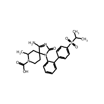 CC1CC2(CCN1C(=O)O)C(N)=NC(=O)N2c1ccccc1-c1ccc(S(=O)(=O)C(C)C)cc1